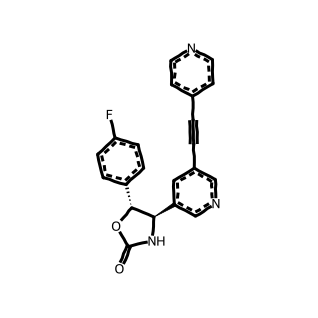 O=C1N[C@H](c2cncc(C#Cc3ccncc3)c2)[C@@H](c2ccc(F)cc2)O1